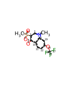 Cn1cc(S(C)(=O)=O)c(=O)c2ccc(OC(F)(F)F)cc21